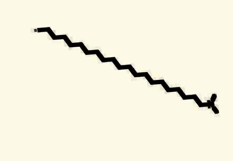 [CH2]CCCCCCCCCCCCCCCCCCCCN(C)C